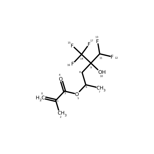 C=C(C)C(=O)OC(C)CC(O)(C(F)F)C(F)(F)F